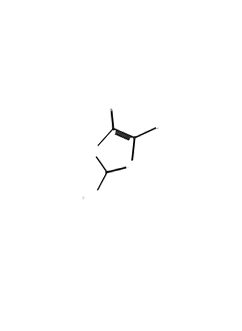 CCC1=C(CC)OC(C=O)O1